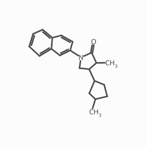 CC1CCC(C2CN(c3ccc4ccccc4c3)C(=O)C2C)C1